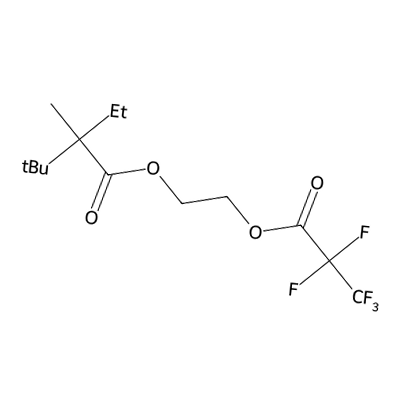 CCC(C)(C(=O)OCCOC(=O)C(F)(F)C(F)(F)F)C(C)(C)C